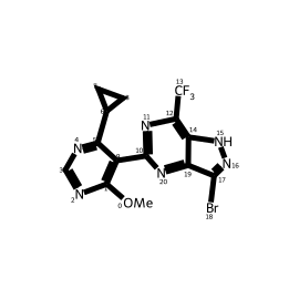 COc1ncnc(C2CC2)c1-c1nc(C(F)(F)F)c2[nH]nc(Br)c2n1